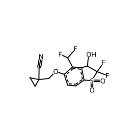 N#CC1(COc2ccc3c(c2C(F)F)C(O)C(F)(F)S3(=O)=O)CC1